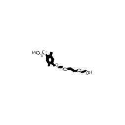 Cc1cc(C(=O)O)c(C)cc1COCCOCCOCCO